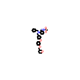 Cc1c(NS(C)(=O)=O)cccc1N(Cc1ccccc1)Cc1ccc(Oc2cccc(OCC3CCCOC3)c2)cc1